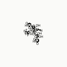 N#CCCOP(=O)(OC(O)[C@H]1O[C@@H](n2ccc(=O)[nH]c2=O)[C@H](O)[C@@H]1O)O[C@]1(O)[C@@H](CO)O[C@@H](n2ccc(=O)[nH]c2=O)[C@@H]1OCOCC(C(F)(F)F)C(F)(F)F